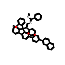 C=N/C(=N\C=C(/c1ccccc1)C1(c2ccccc2CC)c2ccccc2-c2ccc(-c3ccc(-c4ccc5ccccc5c4)cc3)cc21)c1ccccc1